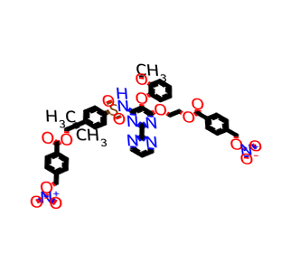 COc1ccccc1Oc1c(NS(=O)(=O)c2ccc(C(C)(C)COC(=O)c3ccc(CO[N+](=O)[O-])cc3)cc2)nc(-c2ncccn2)nc1OCCOC(=O)c1ccc(CO[N+](=O)[O-])cc1